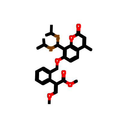 CO/C=C(/C(=O)OC)c1ccccc1COc1ccc2c(C)cc(=O)oc2c1C(SC(C)C)SC(C)C